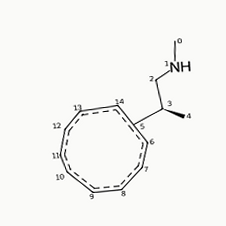 CNC[C@@H](C)c1ccccccccc1